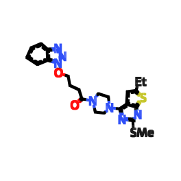 CCc1cc2c(N3CCN(C(=O)CCCOn4nnc5ccccc54)CC3)nc(SC)nc2s1